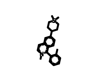 Cc1ccccc1-c1c2ccc(C3CC[Si](C)(C)CC3)cc2cc[n+]1C